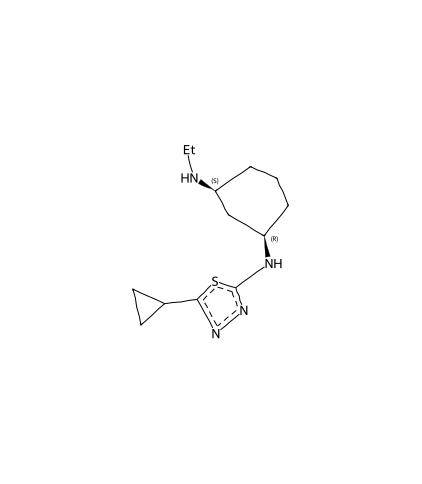 CCN[C@H]1CCC[C@@H](Nc2nnc(C3CC3)s2)C1